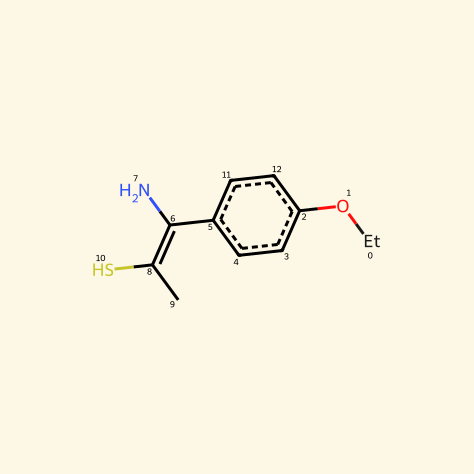 CCOc1ccc(/C(N)=C(\C)S)cc1